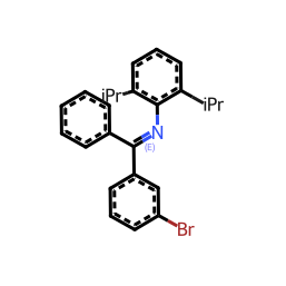 CC(C)c1cccc(C(C)C)c1/N=C(\c1ccccc1)c1cccc(Br)c1